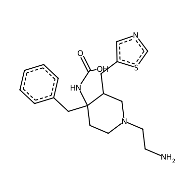 NCCN1CCC(Cc2ccccc2)(NC(=O)O)C(Cc2cncs2)C1